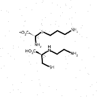 NCCCS[C@H](N)C(=O)O.NCCN[C@@H](CS)C(=O)O